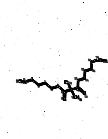 CCCCCCCCCCCCCCCC(=O)[N+](C)(CC)C(=O)CCCCCCCCCCCCCCC